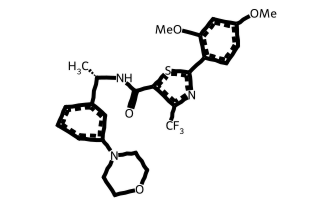 COc1ccc(-c2nc(C(F)(F)F)c(C(=O)N[C@@H](C)c3cccc(N4CCOCC4)c3)s2)c(OC)c1